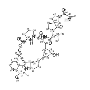 CCn1c(-c2cccnc2[C@H](C)OC)c2c3cc(ccc31)-c1cc(O)cc(c1)C[C@H](NC(=O)C(C(C)C)N1CC[C@]3(CCN(C(=O)[C@H]4CN4)C3)C1=O)C(=O)N1CCC[C@H](N1)C(=O)OCC(C)(C)C2